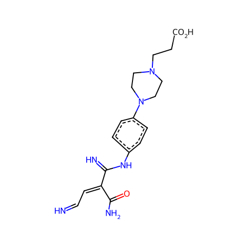 N=C/C=C(/C(=N)Nc1ccc(N2CCN(CCC(=O)O)CC2)cc1)C(N)=O